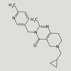 Cc1ccc(Cn2c(C)nc3c(c2=O)CN(CC2CC2)CC3)cn1